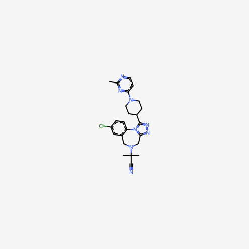 Cc1nccc(N2CCC(c3nnc4n3-c3ccc(Cl)cc3CN(C(C)(C)C#N)C4)CC2)n1